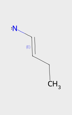 CC/C=C/[N]